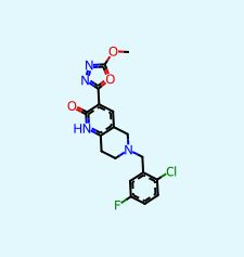 COc1nnc(-c2cc3c([nH]c2=O)CCN(Cc2cc(F)ccc2Cl)C3)o1